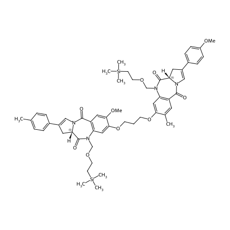 COc1ccc(C2=CN3C(=O)c4cc(C)c(OCCCOc5cc6c(cc5OC)C(=O)N5C=C(c7ccc(C)cc7)C[C@H]5C(=O)N6COCC[Si](C)(C)C)cc4N(COCC[Si](C)(C)C)C(=O)[C@@H]3C2)cc1